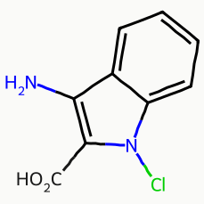 Nc1c(C(=O)O)n(Cl)c2ccccc12